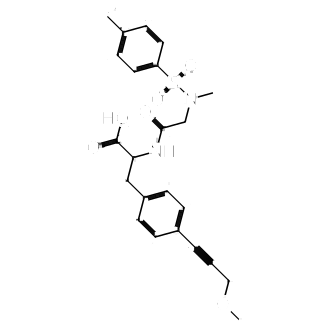 COCC#Cc1ccc(CC(NC(=O)CN(C)S(=O)(=O)c2ccc(C)cc2)C(=O)O)cc1